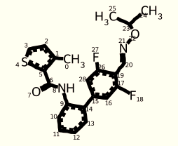 Cc1ccsc1C(=O)Nc1ccccc1-c1cc(F)c(C=NOC(C)C)c(F)c1